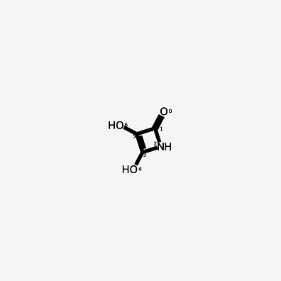 O=C1NC(O)=C1O